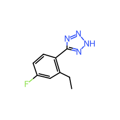 CCc1cc(F)ccc1-c1nn[nH]n1